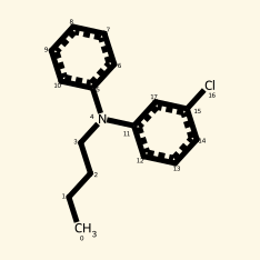 CCCCN(c1ccccc1)c1cccc(Cl)c1